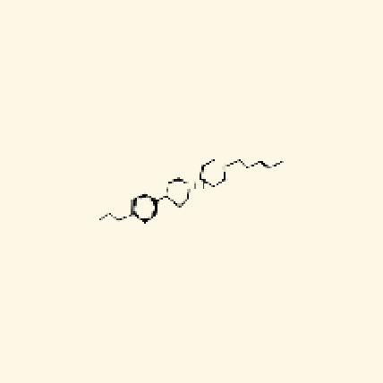 C/C=C/CC[SiH]1CCC([SiH]2CCC(c3ccc(CCC)cc3)CC2)CC1